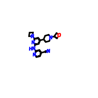 N#Cc1ccnc(Nc2cc(C3CCN(C4COC4)CC3)cc(N3CCC3)n2)c1